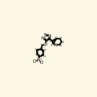 O=[N+]([O-])c1ccc(CSc2nsnc2C2CN3CCCC2C3)cc1